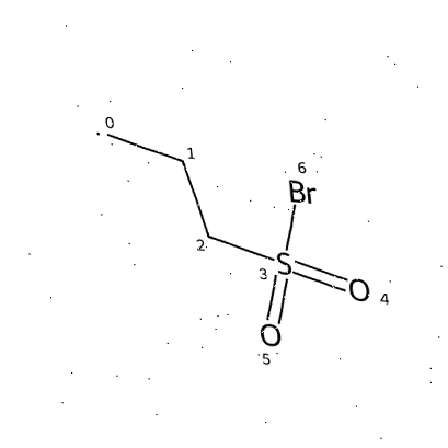 [CH2]CCS(=O)(=O)Br